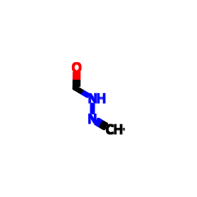 [CH]=NNC=O